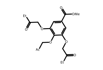 CCC(=O)COc1cc(C(=O)OC)cc(OCC(=O)CC)c1OCC(C)=O